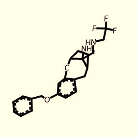 NC1(CNCC(F)(F)F)C2CCC1Cc1cc(OCc3ccccc3)ccc1C2